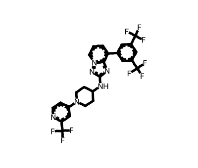 FC(F)(F)c1cc(-c2cccn3nc(NC4CCN(c5ccnc(C(F)(F)F)c5)CC4)nc23)cc(C(F)(F)F)c1